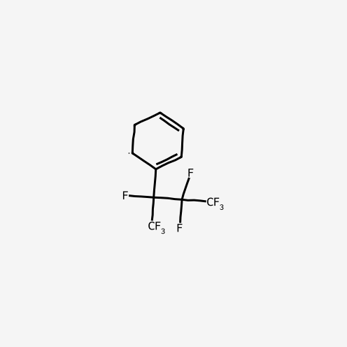 FC(F)(F)C(F)(F)C(F)(C1=CC=CC[CH]1)C(F)(F)F